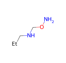 CCCNCON